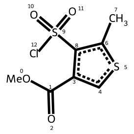 COC(=O)c1csc(C)c1S(=O)(=O)Cl